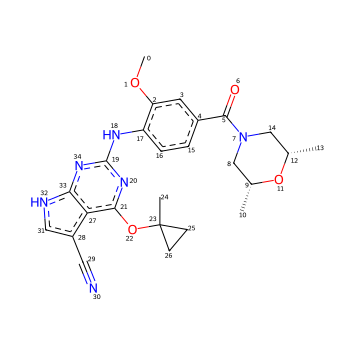 COc1cc(C(=O)N2C[C@@H](C)O[C@@H](C)C2)ccc1Nc1nc(OC2(C)CC2)c2c(C#N)c[nH]c2n1